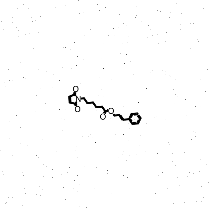 O=C(CCCCCN1C(=O)C=CC1=O)OC/C=C/c1ccccc1